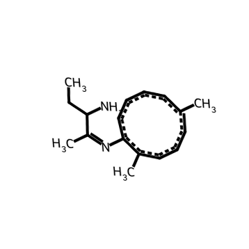 CCC(N)/C(C)=N\c1ccccc(C)cccc1C